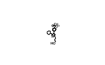 CS(=O)(=O)c1ccc(-c2cc(CCCO)nn2C2CCCCC2)cc1